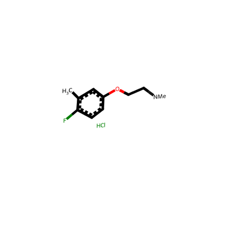 CNCCOc1ccc(F)c(C)c1.Cl